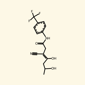 CC(O)C/C(O)=C(\C#N)CC(=O)Nc1ccc(C(F)(F)F)cc1